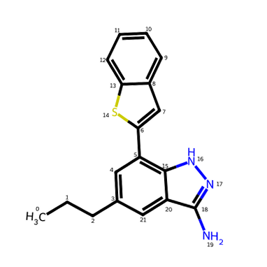 CCCc1cc(-c2cc3ccccc3s2)c2[nH]nc(N)c2c1